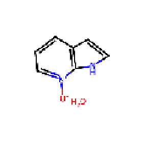 O.[O-][n+]1cccc2cc[nH]c21